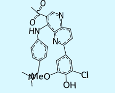 COc1cc(-c2ccc3ncc(S(C)(=O)=O)c(Nc4ccc(CN(C)C)cc4)c3n2)cc(Cl)c1O